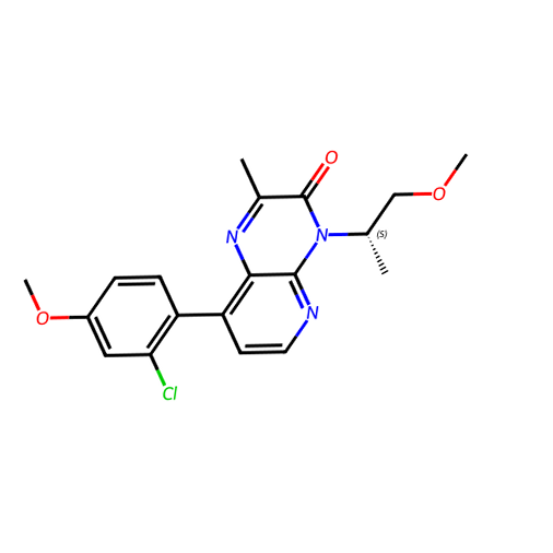 COC[C@H](C)n1c(=O)c(C)nc2c(-c3ccc(OC)cc3Cl)ccnc21